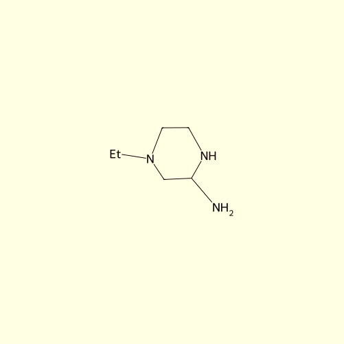 CCN1CCNC(N)C1